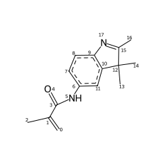 C=C(C)C(=O)Nc1ccc2c(c1)C(C)(C)C(C)=N2